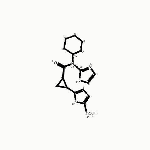 O=C(O)c1ccc(C2CC2C(=O)N(c2nccs2)C2CCCCC2)s1